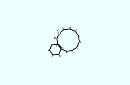 C1CCCCC2=C(CCCC2)COCCC1